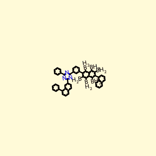 Bc1c(-c2cccc3ccccc23)c(B)c2c(B)c(B)c(-c3cccc(-c4nc(-c5ccccc5)nc(-c5ccc6cccc(-c7ccccc7)c6c5)n4)c3)c(B)c2c1B